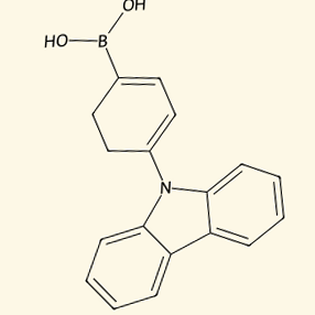 OB(O)C1=CC=C(n2c3ccccc3c3ccccc32)CC1